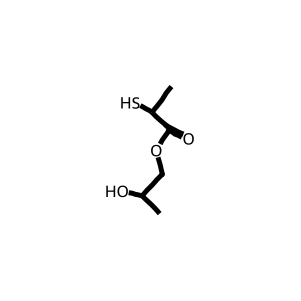 CC(O)COC(=O)C(C)S